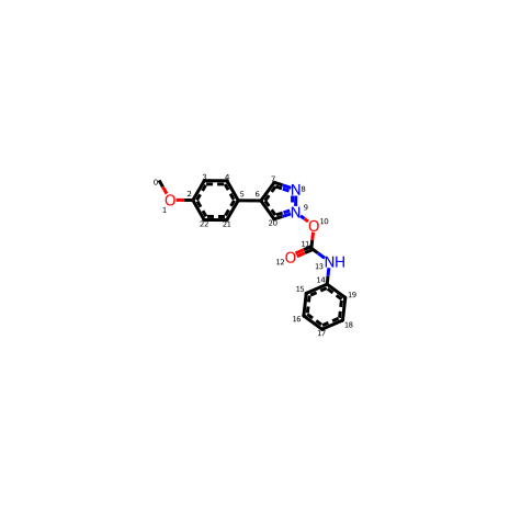 COc1ccc(-c2cnn(OC(=O)Nc3ccccc3)c2)cc1